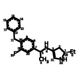 CC[C@H]1CC(NC(C)c2ccc(Cc3ccccc3)c(F)c2)=CN1